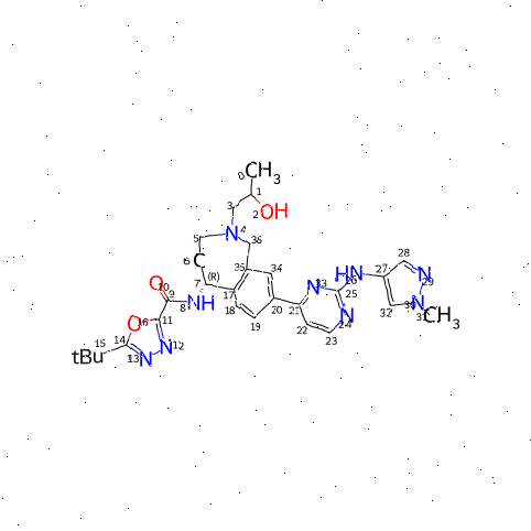 CC(O)CN1CC[C@@H](NC(=O)c2nnc(C(C)(C)C)o2)c2ccc(-c3ccnc(Nc4cnn(C)c4)n3)cc2C1